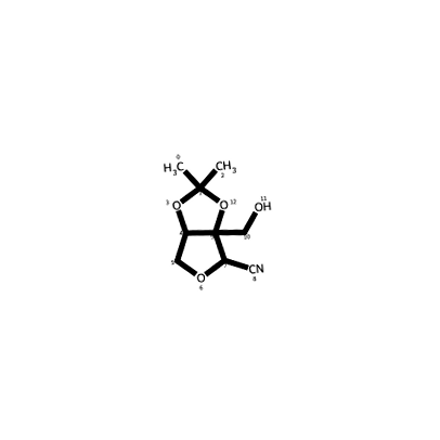 CC1(C)OC2COC(C#N)C2(CO)O1